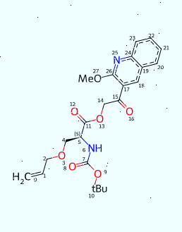 C=CCOC[C@H](NC(=O)OC(C)(C)C)C(=O)OCC(=O)c1cc2ccccc2nc1OC